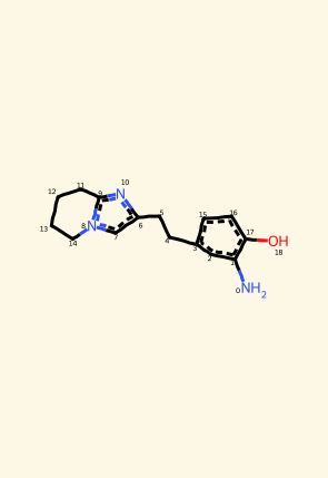 Nc1cc(CCc2cn3c(n2)CCCC3)ccc1O